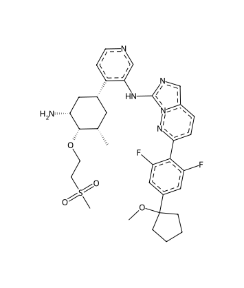 COC1(c2cc(F)c(-c3ccc4cnc(Nc5cnccc5[C@H]5C[C@@H](N)[C@@H](OCCS(C)(=O)=O)[C@@H](C)C5)n4n3)c(F)c2)CCCC1